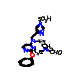 CCN(Cc1cn(S(=O)(=O)O)cn1)c1ccnc(Oc2ccccc2)n1.CN(C)C=O